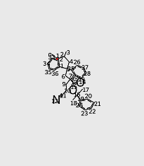 CCC(C)CC(CC(C)(CCC#N)C(=O)OC(C)(C)c1ccccc1)(c1ccccc1)c1ccccc1